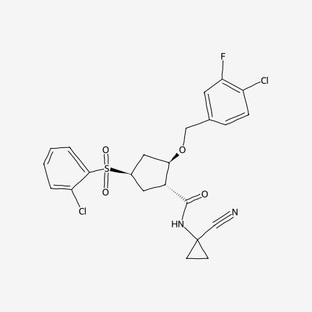 N#CC1(NC(=O)[C@@H]2C[C@@H](S(=O)(=O)c3ccccc3Cl)C[C@H]2OCc2ccc(Cl)c(F)c2)CC1